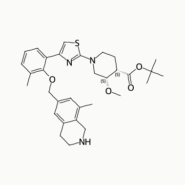 CO[C@@H]1CN(c2nc(-c3cccc(C)c3OCc3cc(C)c4c(c3)CCNC4)cs2)CC[C@@H]1C(=O)OC(C)(C)C